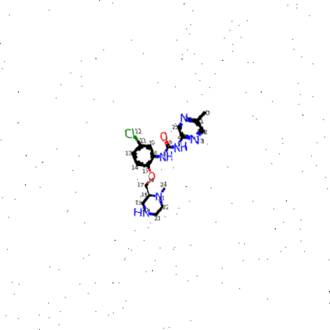 Cc1cnc(NC(=O)Nc2cc(Cl)ccc2OC[C@@H]2CNCCN2C)cn1